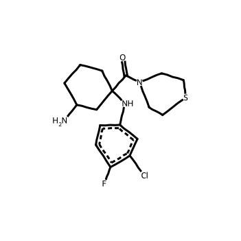 NC1CCCC(Nc2ccc(F)c(Cl)c2)(C(=O)N2CCSCC2)C1